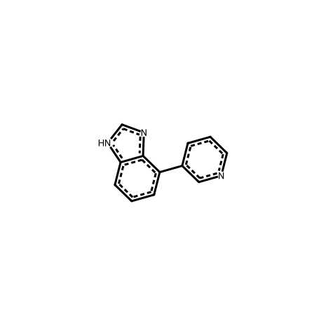 c1cncc(-c2cccc3[nH]cnc23)c1